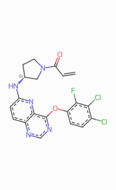 C=CC(=O)N1CC[C@H](Nc2ccc3ncnc(Oc4ccc(Cl)c(Cl)c4F)c3n2)C1